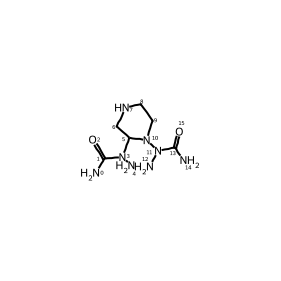 NC(=O)N(N)C1CNCCN1N(N)C(N)=O